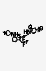 COc1cc(P(C)(C)=O)ccc1NCC#Cc1sc2c(NC3CCN(C)CC3)cccc2c1CC(F)(F)F